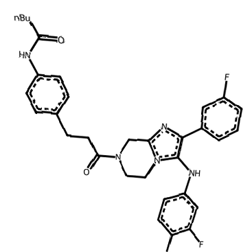 CCCCC(=O)Nc1ccc(CCC(=O)N2CCn3c(nc(-c4cccc(F)c4)c3Nc3ccc(Cl)c(F)c3)C2)cc1